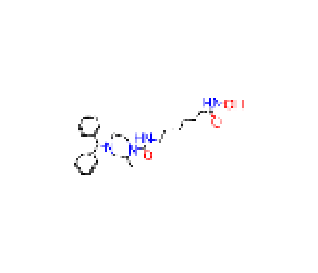 C[C@H]1CN(C(c2ccccc2)c2ccccc2)CCN1C(=O)NCCCCCCC(=O)NO